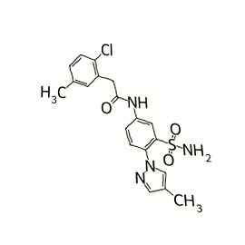 Cc1ccc(Cl)c(CC(=O)Nc2ccc(-n3cc(C)cn3)c(S(N)(=O)=O)c2)c1